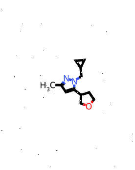 Cc1cc(C2CCOC2)n(CC2CC2)n1